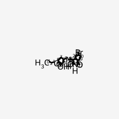 CCCCOc1ccc(CNC=C2C(=O)NC(=O)c3ccc(Br)cc32)cc1O